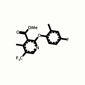 COC(=O)c1c(Oc2ccc(F)cc2C)ncc(C(F)(F)F)c1C